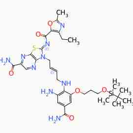 CCc1nc(C)oc1C(=O)/N=c1\sc2nc(C(N)=O)cnc2n1C/C=C/CNc1c(N)cc(C(N)=O)cc1OCCCO[Si](C)(C)C(C)(C)C